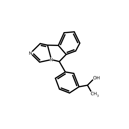 CC(O)c1cccc(C2c3ccccc3-c3cncn32)c1